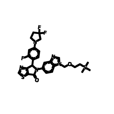 C[Si](C)(C)CCOCn1cnc2cc(N3C(=O)c4scnc4C3c3ccc(N4CCC(F)(F)C4)cc3F)ccc21